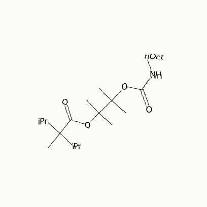 CCCCCCCCNC(=O)OC(C)(C)C(C)(C)OC(=O)C(C)(C(C)C)C(C)C